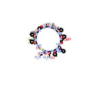 CCCC[C@H]1C(=O)N2CCC[C@@H]2C(=O)N[C@@H](CC(=O)O)C(=O)N[C@@H](C(C)C)C(=O)N(C)[C@@H](Cc2ccccc2)C(=O)N[C@@H](Cc2ccc(O)cc2)C(=O)N2C[C@@H](O)C[C@@H]2C(=O)N[C@@H](Cc2c[nH]c3ccccc23)C(=O)N[C@@H](Cc2ccc(O)cc2)C(=O)N[C@@H](CCCN)C(=O)N[C@H](C(=O)NCC(N)=O)CSCC(=O)N[C@@H](Cc2cc(F)c(F)c(F)c2)C(=O)N(C)[C@@H](Cc2ccccc2)C(=O)N1C